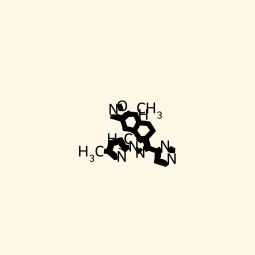 Cc1ccc(-n2nc(-c3ccncn3)c3c2[C@]2(C)Cc4cnoc4[C@H](C)[C@H]2CC3)nc1